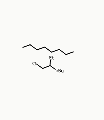 CCCCC(CC)CCl.CCCCCCCC